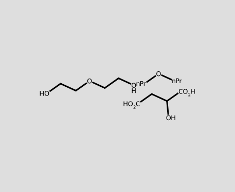 CCCOCCC.O=C(O)CC(O)C(=O)O.OCCOCCO